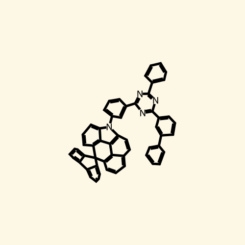 c1ccc(-c2cccc(-c3nc(-c4ccccc4)nc(-c4cccc(-n5c6cccc7c6c6c8c(cccc8ccc65)C75c6ccccc6-c6ccccc65)c4)n3)c2)cc1